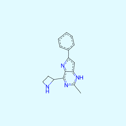 Cc1nc(C2CCN2)c2nc(-c3ccccc3)cc-2[nH]1